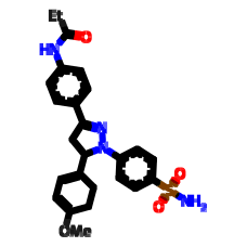 CCC(=O)Nc1ccc(C2=NN(c3ccc(S(N)(=O)=O)cc3)C(C3=CC=C(OC)CC3)C2)cc1